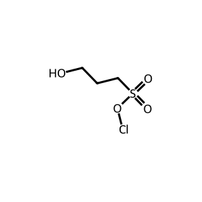 O=S(=O)(CCCO)OCl